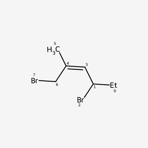 CCC(Br)C=C(C)CBr